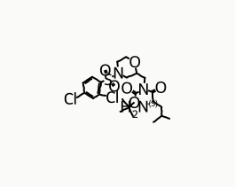 CC(C)C[C@H](N)C(=O)N(CC1CN(S(=O)(=O)c2ccc(Cl)cc2Cl)CCO1)C(=O)OC(C)(C)C